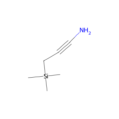 C[Si](C)(C)CC#CN